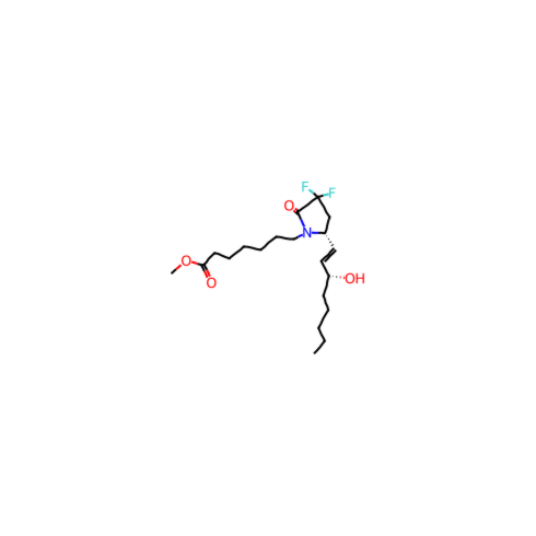 CCCCC[C@@H](O)/C=C/[C@H]1CC(F)(F)C(=O)N1CCCCCCC(=O)OC